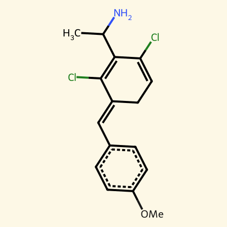 COc1ccc(C=C2CC=C(Cl)C(C(C)N)=C2Cl)cc1